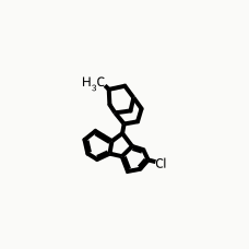 CC1CC2CCC(C3c4ccccc4-c4ccc(Cl)cc43)C(C1)C2